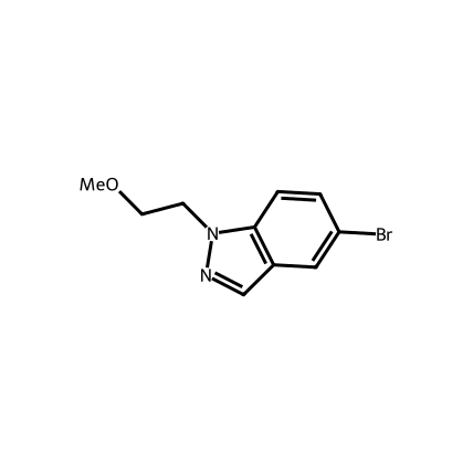 COCCn1ncc2cc(Br)ccc21